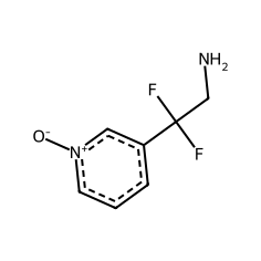 NCC(F)(F)c1ccc[n+]([O-])c1